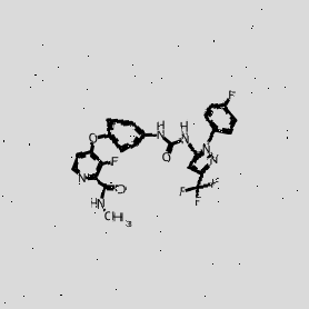 CNC(=O)c1nccc(Oc2ccc(NC(=O)Nc3cc(C(F)(F)F)nn3-c3ccc(F)cc3)cc2)c1F